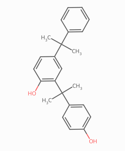 CC(C)(c1ccccc1)c1ccc(O)c(C(C)(C)c2ccc(O)cc2)c1